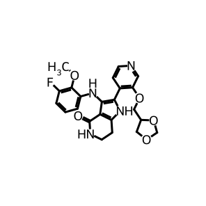 COc1c(F)cccc1Nc1c(-c2ccncc2OCC2COCO2)[nH]c2c1C(=O)NCC2